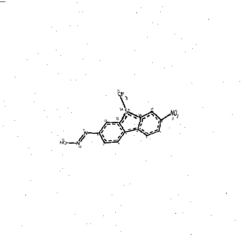 O=[N+]([O-])c1ccc2c3ccc(/N=N/O)cc3[s+](C(F)(F)F)c2c1